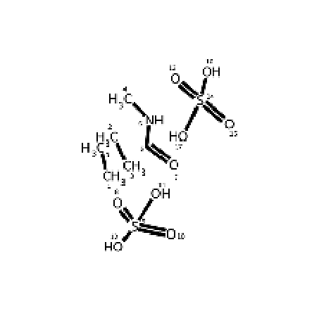 CC.CC.CNC=O.O=S(=O)(O)O.O=S(=O)(O)O